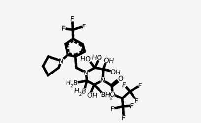 BC1(B)N(Cc2ccc(C(F)(F)F)cc2N2CCCC2)C(O)(O)C(O)(O)N(C(=O)OC(C(F)(F)F)C(F)(F)F)C1(B)O